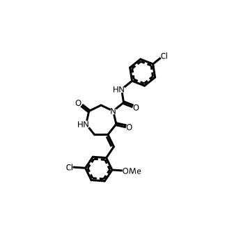 COc1ccc(Cl)cc1/C=C1\CNC(=O)CN(C(=O)Nc2ccc(Cl)cc2)C1=O